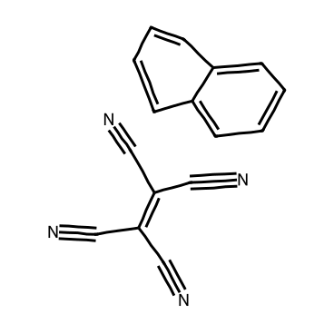 N#CC(C#N)=C(C#N)C#N.c1ccc2ccccc2c1